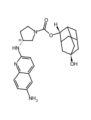 Nc1ccc2nc(N[C@@H]3CCN(C(=O)O[C@H]4C5CC6CC4C[C@](O)(C6)C5)C3)ccc2c1